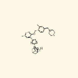 Cc1ccc(OCc2ccc(CN3CCSCC3)cc2C)c(-c2csc(N3CC4CC(C3)C4C(=O)O)n2)c1